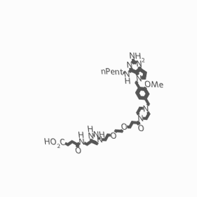 CCCCCNc1nc(N)nc2ccn(Cc3ccc(CN4CCN(C(=O)CCOCCOCCN5C=C(CNC(=O)CCC(=O)O)NN5)CC4)cc3OC)c12